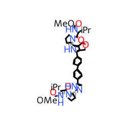 COC(=O)NC(C(=O)N1CCC[C@H]1c1[nH]c(-c2ccc(-c3ccc(-c4cnc([C@@H]5CCCN5C(=O)[C@@H](NC(=O)OC)C(C)C)[nH]4)cc3)cc2)c2c1COC2)C(C)C